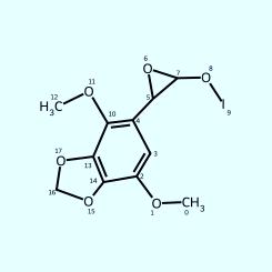 COc1cc(C2OC2OI)c(OC)c2c1OCO2